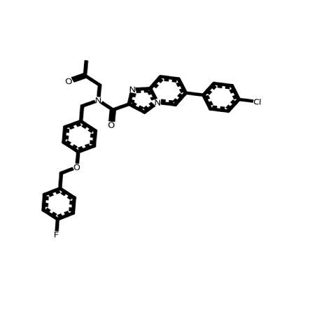 CC(=O)CN(Cc1ccc(OCc2ccc(F)cc2)cc1)C(=O)c1cn2cc(-c3ccc(Cl)cc3)ccc2n1